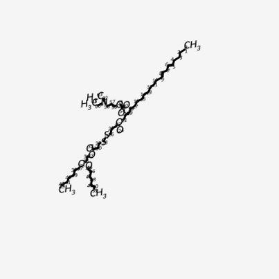 CCCCCC=CCC=CCCCCCCCCC(CCCOC(=O)CCSSCCC(=O)OCC(OCCCCCCC)OCCCCCCC)OC(=O)OCCCN(CC)CC